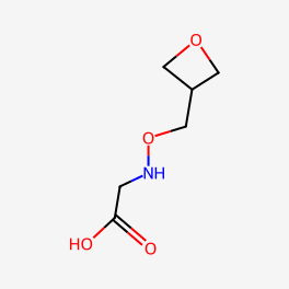 O=C(O)CNOCC1COC1